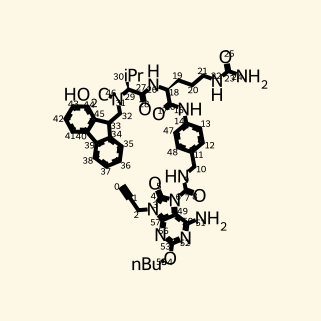 C#CCn1c(=O)n(C(=O)NCc2ccc(NC(=O)[C@H](CCCNC(N)=O)NC(=O)[C@H](C(C)C)N(CC3c4ccccc4-c4ccccc43)C(=O)O)cc2)c2c(N)nc(OCCCC)nc21